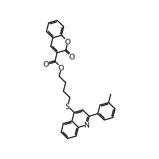 Cc1cccc(-c2cc(SCCCCOC(=O)c3cc4ccccc4oc3=O)c3ccccc3n2)c1